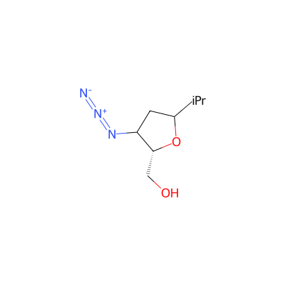 CC(C)C1CC(N=[N+]=[N-])[C@@H](CO)O1